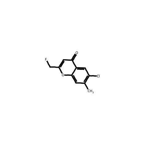 Cc1cc2oc(CF)cc(=O)c2cc1Cl